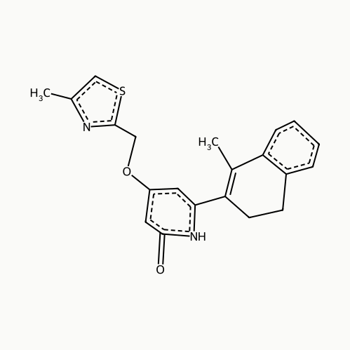 CC1=C(c2cc(OCc3nc(C)cs3)cc(=O)[nH]2)CCc2ccccc21